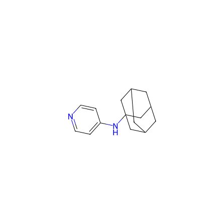 c1cc(NC23CC4CC(CC(C4)C2)C3)ccn1